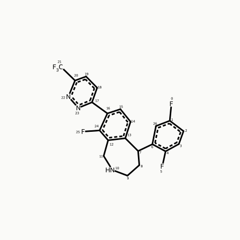 Fc1ccc(F)c(C2CCNCc3c2ccc(-c2ccc(C(F)(F)F)nn2)c3F)c1